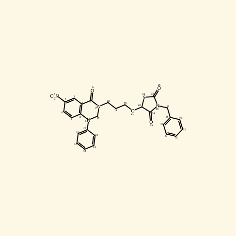 O=C1c2cc([N+](=O)[O-])ccc2N(c2ccccc2)CN1CCCOC1SC(=O)N(Cc2ccccc2)C1=O